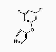 Fc1cc(F)cc(Oc2c[c]ncc2)c1